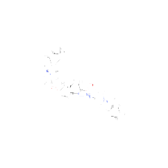 [C-]#[N+]c1ccc(CN2CCC(Oc3ccc4cc(C(=O)NC5CCN(Cc6ccccc6)CC5)ccc4c3)CC2)cc1